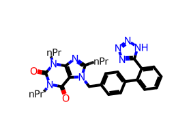 CCCc1nc2c(c(=O)n(CCC)c(=O)n2CCC)n1Cc1ccc(-c2ccccc2-c2nnn[nH]2)cc1